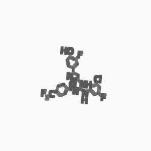 O=C(/N=C(/Nc1cc(F)cc(Cl)c1)Nc1cc(-c2ccc(O)c(F)c2)n[nH]1)c1ccc(C(F)(F)F)cc1